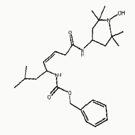 CC(C)CC(/C=C\CC(=O)NC1CC(C)(C)N(O)C(C)(C)C1)NC(=O)OCc1ccccc1